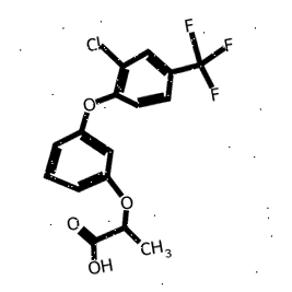 CC(Oc1cccc(Oc2ccc(C(F)(F)F)cc2Cl)c1)C(=O)O